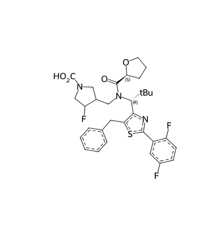 CC(C)(C)[C@H](c1nc(-c2cc(F)ccc2F)sc1Cc1ccccc1)N(CC1CN(C(=O)O)CC1F)C(=O)[C@@H]1CCCO1